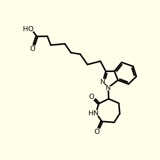 O=C(O)CCCCCCCc1nn(C2CCCC(=O)NC2=O)c2ccccc12